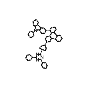 c1ccc(-c2nc(-c3ccccc3)nc(-c3ccc(-c4ccc5c(c4)c4ccccc4c4cccc(-c6ccc7c(c6)c6ccccc6n7-c6ccccc6)c45)cc3)n2)cc1